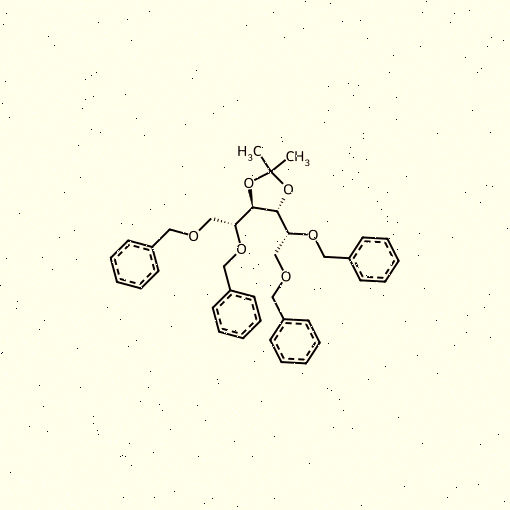 CC1(C)O[C@H]([C@@H](COCc2ccccc2)OCc2ccccc2)[C@@H]([C@@H](COCc2ccccc2)OCc2ccccc2)O1